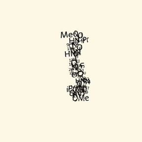 COC(=O)NC(C(=O)N1CCC[C@@H]1c1ncc(-c2ccc3c(c2)c(F)c2n3CCOc3cc(-c4cnc([C@@H]5CCCN5C(=O)[C@@H](NC(=O)OC)C(C)C)[nH]4)ccc3-2)[nH]1)C(C)C